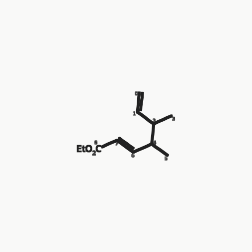 C=CC(C)C(C)/C=C/C(=O)OCC